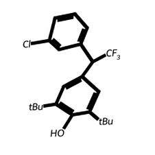 CC(C)(C)c1cc(C(c2cccc(Cl)c2)C(F)(F)F)cc(C(C)(C)C)c1O